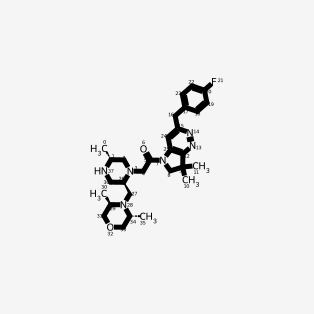 C[C@@H]1CN(CC(=O)N2CC(C)(C)c3nnc(Cc4ccc(F)cc4)cc32)[C@@H](CN2[C@H](C)COC[C@H]2C)CN1